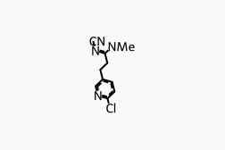 CNC(CCc1ccc(Cl)nc1)=NC#N